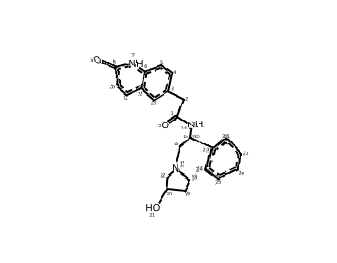 O=C(Cc1ccc2[nH]c(=O)ccc2c1)N[C@H](CN1CCC(O)C1)c1ccccc1